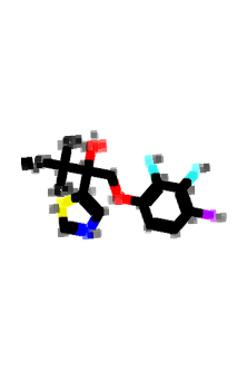 CC(C)(C)C(O)(COc1ccc(I)c(F)c1F)c1cncs1